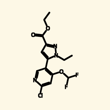 CCOC(=O)c1cc(-c2cnc(Cl)cc2OC(F)F)n(CC)n1